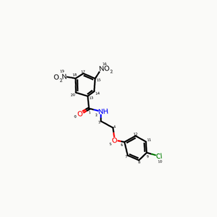 O=C(NCCOc1ccc(Cl)cc1)c1cc([N+](=O)[O-])cc([N+](=O)[O-])c1